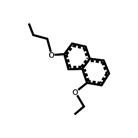 CCCOc1ccc2cccc(OCC)c2c1